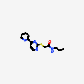 CCCNC(=O)CSc1nccc(-c2ccccn2)n1